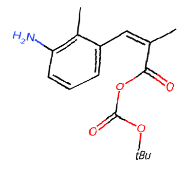 CC(=Cc1cccc(N)c1C)C(=O)OC(=O)OC(C)(C)C